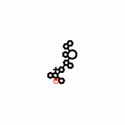 CC1(C)c2cc(-c3ccc(-c4ccccccc(-c5cccc6ccccc56)c5ccccc45)c4ccccc34)ccc2-c2c1c1ccccc1c1oc3ccccc3c21